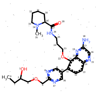 CCC(O)COCc1ncc(-c2ccc3ncc(N)nc3c2OCCCNC(=O)C2CCCCN2C)cn1